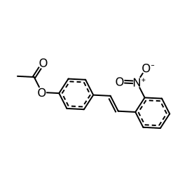 CC(=O)Oc1ccc(/C=C/c2ccccc2[N+](=O)[O-])cc1